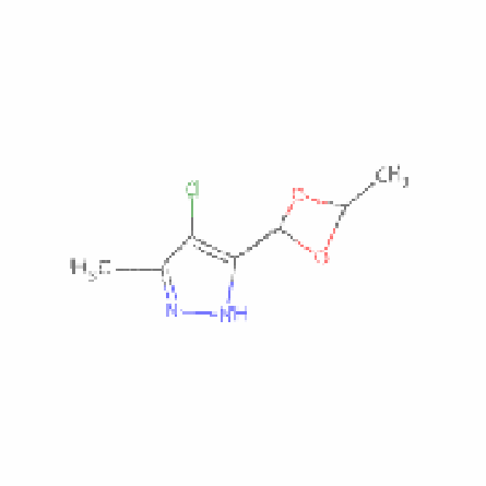 Cc1n[nH]c(C2OC(C)O2)c1Cl